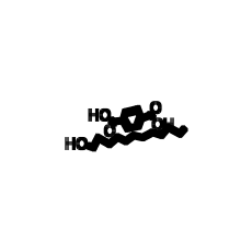 CCCCCCCCCCCCO.O=C(O)c1ccc(C(=O)O)cc1